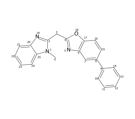 Cn1c(Cc2nc3cc(-c4ccccc4)ccc3o2)nc2ccccc21